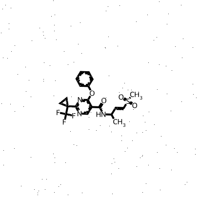 CC(C=CS(C)(=O)=O)NC(=O)c1cnc(C2(C(F)(F)F)CC2)nc1Oc1ccccc1